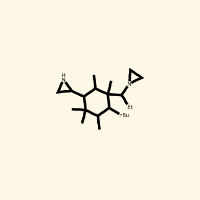 CCCCC1C(C)C(C)(C)C(C2CN2)C(C)C1(C)C(CC)N1CC1